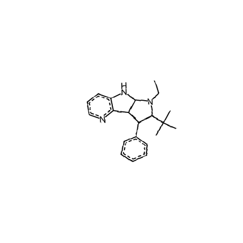 CCN1C2Nc3cccnc3C2C(c2ccccc2)C1C(C)(C)C